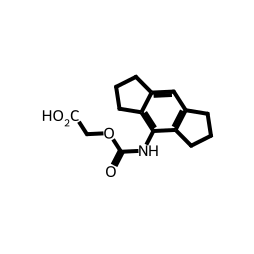 O=C(O)COC(=O)Nc1c2c(cc3c1CCC3)CCC2